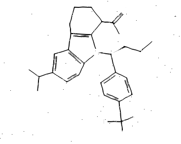 CCC[C@@H](c1ccc(C(F)(F)F)cc1)n1c2c(c3cc(C(C)C)ccc31)CCCC2C(=O)O